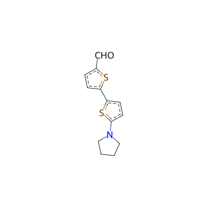 O=Cc1ccc(-c2ccc(N3CCCC3)s2)s1